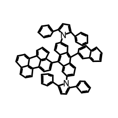 c1ccc(-c2ccc(-c3ccccc3)n2-c2ccc3c(-c4ccc5c6cccc7cccc(c8cccc4c85)c76)c4cc(-n5c(-c6ccccc6)ccc5-c5ccccc5)ccc4c(-c4ccc5ccccc5c4)c3c2)cc1